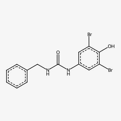 O=C(NCc1ccccc1)Nc1cc(Br)c(O)c(Br)c1